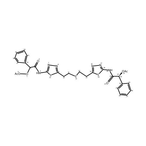 CC(=O)OOC(C(=O)Nc1nnc(CCSCCc2nnc(NC(=O)[C@@H](OC(C)=O)c3ccccc3)s2)s1)c1ccccc1